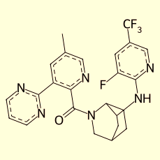 Cc1cnc(C(=O)N2CC3CCC2C(Nc2ncc(C(F)(F)F)cc2F)C3)c(-c2ncccn2)c1